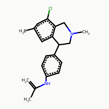 Bc1cc(Cl)c2c(c1)C(c1ccc(NC(=C)C)cc1)CN(C)C2